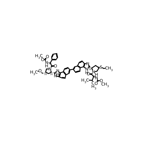 CCS[C@H]1C[C@@H](c2nc3ccc4cc(-c5ccc6c(ccc7nc([C@@H]8C[C@H](COC)CN8C(=O)[C@H](NC(=O)OC)c8ccccc8)[nH]c76)c5)ccc4c3[nH]2)N(C(=O)[C@@H](NC(=O)OC)C(C)C)C1